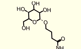 NC(=O)CCCO[C@@H]1OC(CO)[C@@H](O)C(O)C1O